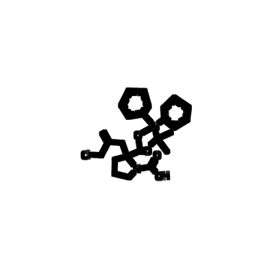 C=C(CCl)CC1(C(=O)O[Si](c2ccccc2)(c2ccccc2)C(C)(C)C)CCCN1C(=O)O